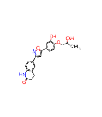 CC(O)COc1ccc(-c2cc(-c3ccc4c(c3)CCC(=O)N4)no2)cc1O